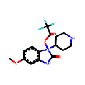 COc1ccc2c(c1)NC(=O)[N+]2(OC(=O)C(F)(F)F)C1CCNCC1